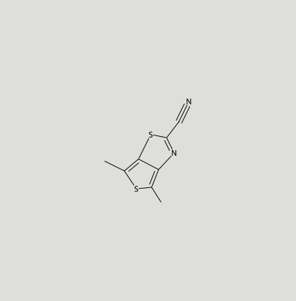 Cc1sc(C)c2sc(C#N)nc12